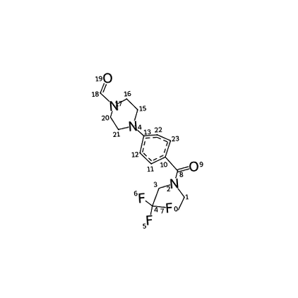 CCN(CC(F)(F)F)C(=O)c1ccc(N2CCN(C=O)CC2)cc1